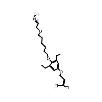 CCc1cc(OCC=C(Cl)Cl)cc(CC)c1OCCCCCCOC/C=N/O